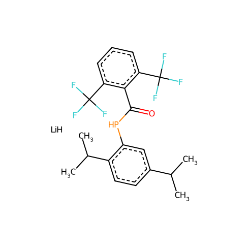 CC(C)c1ccc(C(C)C)c(PC(=O)c2c(C(F)(F)F)cccc2C(F)(F)F)c1.[LiH]